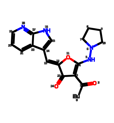 CCC(C)C(=O)C1=C(NN2CCCC2)O/C(=C\c2c[nH]c3ncccc23)C1=O